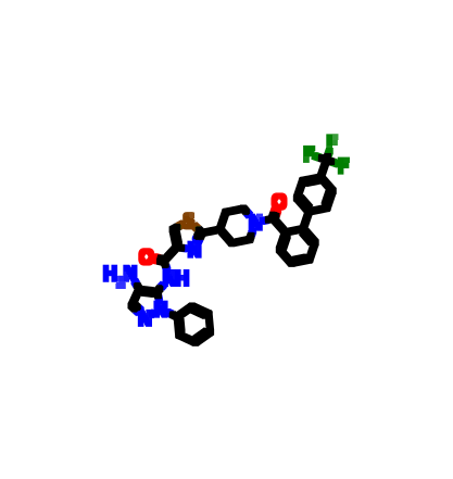 Nc1cnn(-c2ccccc2)c1NC(=O)c1csc(C2CCN(C(=O)c3ccccc3-c3ccc(C(F)(F)F)cc3)CC2)n1